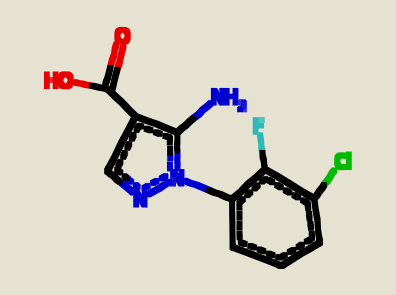 Nc1c(C(=O)O)cnn1-c1cccc(Cl)c1F